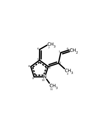 C=C/C(C)=c1\c(=C/C)ccn1C